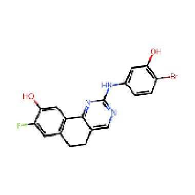 Oc1cc2c(cc1F)CCc1cnc(Nc3ccc(Br)c(O)c3)nc1-2